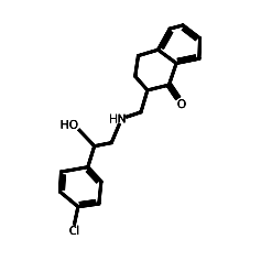 O=C1c2ccccc2CCC1CNCC(O)c1ccc(Cl)cc1